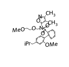 COCCOCN(c1onc(C)c1C)S(=O)(=O)c1ccccc1-c1ccc(CC(C)C)cc1OC